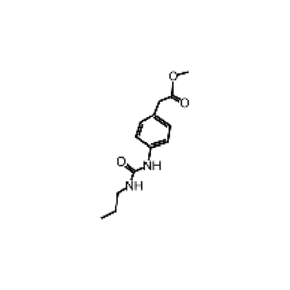 CCCNC(=O)Nc1ccc(CC(=O)OC)cc1